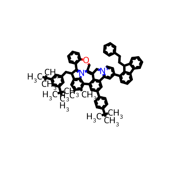 Cc1cc2c3c(c1C)-c1cc(-c4ccc(C(C)(C)C)cc4)cc4c1C(=C1COc5ccccc5C(=[N+]13)C2Cc1cc(C(C)(C)C)cc(C(C)(C)C)c1)C[n+]1ccc(-c2cccc3c2C(CCc2ccccc2)c2ccccc2-3)cc1-4